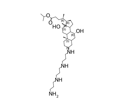 CC(C)OC(=O)CC[C@@H](C)[C@H]1CCC2C3C(C[C@H](O)[C@@]21C)[C@@]1(C)CC[C@H](NCCCNCCCNCCCN)CC1C[C@H]3O